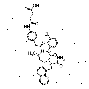 C[C@@H]1CCN([C@H](Cc2cccc3ccccc23)C(N)=O)C(=O)[C@H](c2cccc(Cl)c2)N1C(=O)Cc1ccc(NC(=O)CCC(=O)O)cc1